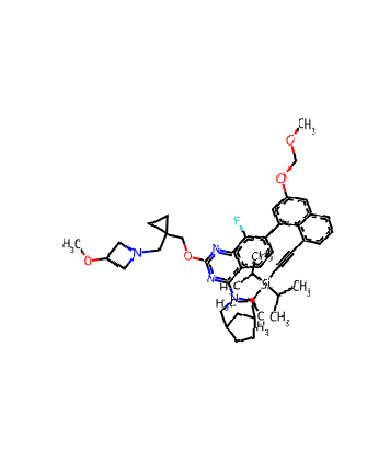 COCOc1cc(-c2ccc3c(N4CC5CCC(C5)C4)nc(OCC4(CN5CC(OC)C5)CC4)nc3c2F)c2c(C#C[Si](C(C)C)(C(C)C)C(C)C)cccc2c1